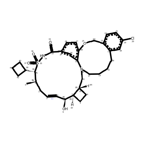 C[C@@H]1C/C=C/[C@H](O)[C@@H]2CC[C@H]2CN2CCCCc3cc(Cl)ccc3COc3ccc(cc32)C(=O)NS(=O)(=O)[C@H]1C1CCC1